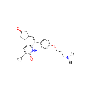 CCN(CC)CCCOc1ccc(C(=C[C@H]2CCC(=O)C2)c2ccc(C3CC3)c(=O)[nH]2)cc1